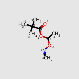 C=NOC(C)OC(=O)C(C)(C)C